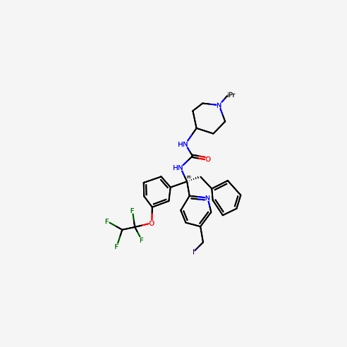 CC(C)N1CCC(NC(=O)N[C@](Cc2ccccc2)(c2cccc(OC(F)(F)C(F)F)c2)c2ccc(CI)cn2)CC1